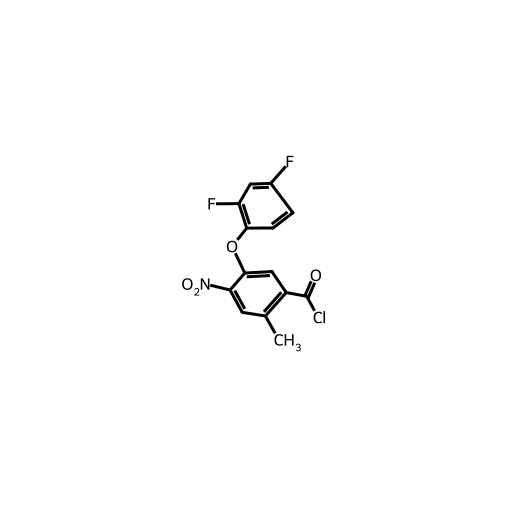 Cc1cc([N+](=O)[O-])c(Oc2ccc(F)cc2F)cc1C(=O)Cl